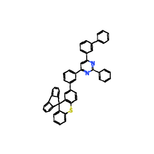 c1ccc(-c2cccc(-c3cc(-c4cccc(-c5ccc6c(c5)C5(c7ccccc7S6)c6ccccc6-c6ccccc65)c4)nc(-c4ccccc4)n3)c2)cc1